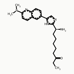 CCC(=O)CCCCC[C@H](N)c1ncc(-c2ccc3nc(N(C)C)ccc3c2)[nH]1